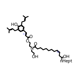 CCCCCCC[C@H](O)C/C=C\CCCCCCCC(=O)N(CCO)CCOC(=O)/C=C/c1cc(CC=C(C)C)c(O)c(CC=C(C)C)c1